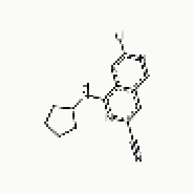 N#Cc1cc2cnc(Cl)cc2c(NC2CCCC2)n1